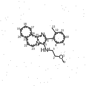 COCCNc1c(-c2ccccc2C)nc2c3ccccc3ccn12